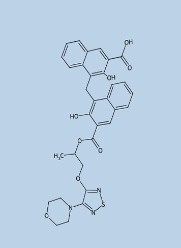 CC(COc1nsnc1N1CCOCC1)OC(=O)c1cc2ccccc2c(Cc2c(O)c(C(=O)O)cc3ccccc23)c1O